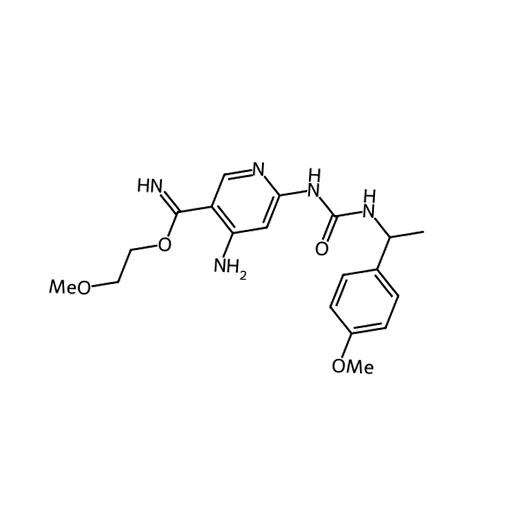 COCCOC(=N)c1cnc(NC(=O)NC(C)c2ccc(OC)cc2)cc1N